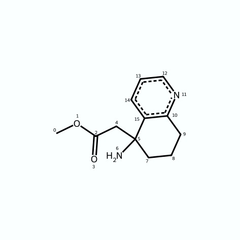 COC(=O)CC1(N)CCCc2ncccc21